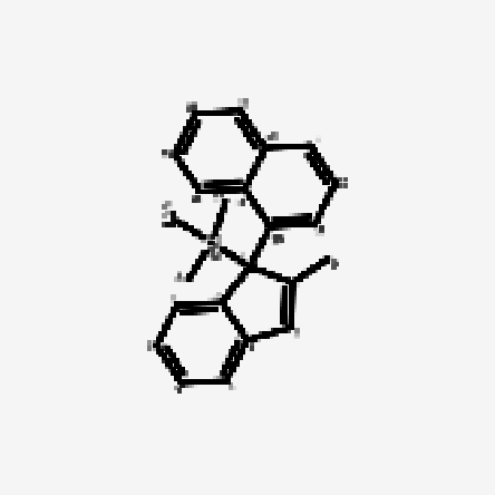 CC1=Cc2ccccc2C1(c1cccc2ccccc12)[Si](C)(C)Cl